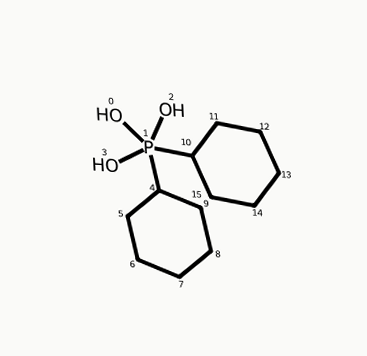 OP(O)(O)(C1CCCCC1)C1CCCCC1